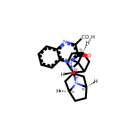 CC1(C)C2C[C@@H]1CC[C@H]2N1[C@@H]2CC[C@H]1C[C@@H](n1c(=O)c(C(=O)O)nc3ccccc31)C2